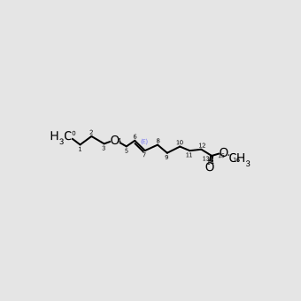 CCCCOC/C=C/CCCCCC(=O)OC